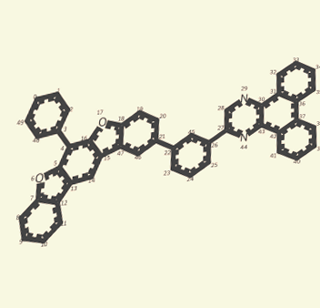 c1ccc(-c2c3oc4ccccc4c3cc3c2oc2ccc(-c4cccc(-c5cnc6c7ccccc7c7ccccc7c6n5)c4)cc23)cc1